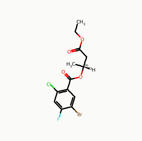 [2H][C@@](C)(CC(=O)OCC)OC(=O)c1cc(Br)c(F)cc1Cl